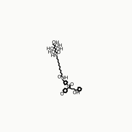 COc1ccc(C2C(CCC(O)c3ccccc3)C(=O)N2c2ccc(CNC(=O)CCCCCCCCCCCNC(=O)C(O)C(O)C(O)C(O)CO)cc2)cc1